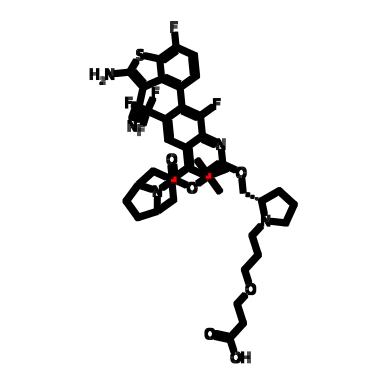 CC(C)(C)OC(=O)N1C2CCC1CN(c1nc(OC[C@@H]3CCCN3CCCOCCC(=O)O)nc3c(F)c(-c4ccc(F)c5sc(N)c(C#N)c45)c(C(F)(F)F)cc13)C2